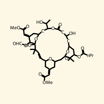 CCCC(=O)OC1CC2CC(O)CC(=O)OC(C(C)O)CC3C/C(=C\C(=O)OC)C(OC=O)C(O)(O3)C(C)(C)/C=C/C3C/C(=C\C(=O)OC)CC(CC(O)(O2)C1(C)C)O3